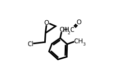 C=O.Cc1ccccc1O.ClCC1CO1